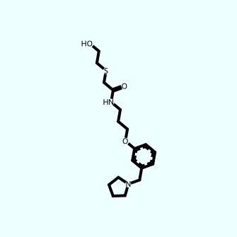 O=C(CSCCO)NCCCOc1cccc(CN2CCCC2)c1